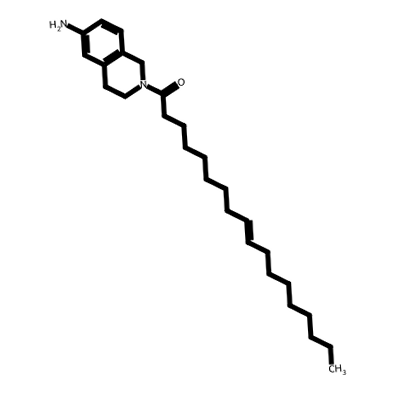 CCCCCCCCC=CCCCCCCCC(=O)N1CCc2cc(N)ccc2C1